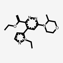 C=C(OCC)c1nnc(N2CCOCC2C)cc1-c1ccnn1CC